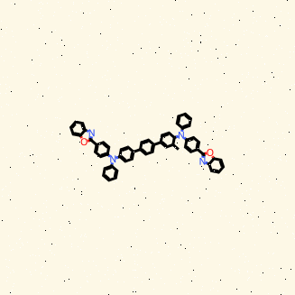 CC1C=C(c2ccc(-c3ccc(N(c4ccccc4)c4ccc(-c5nc6ccccc6o5)cc4)cc3)cc2)C=CC1N(c1ccccc1)c1ccc(C2=NC3C=CC=CC3O2)cc1